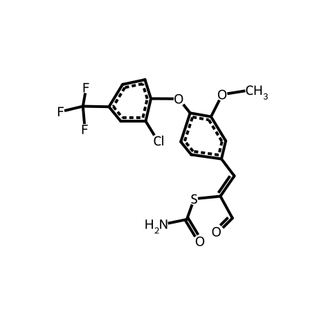 COc1cc(/C=C(/C=O)SC(N)=O)ccc1Oc1ccc(C(F)(F)F)cc1Cl